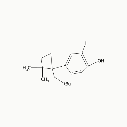 CC(C)(C)CC1(c2ccc(O)c(I)c2)CCC1(C)C